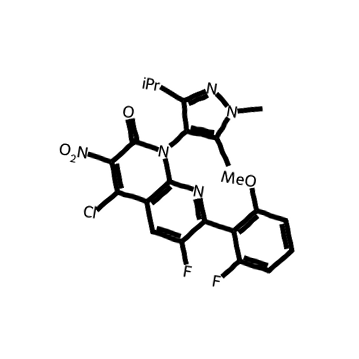 COc1cccc(F)c1-c1nc2c(cc1F)c(Cl)c([N+](=O)[O-])c(=O)n2-c1c(C(C)C)nn(C)c1C